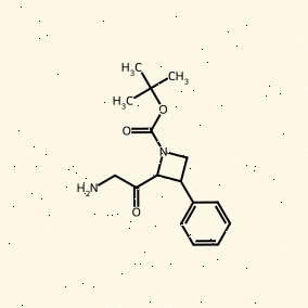 CC(C)(C)OC(=O)N1CC(c2ccccc2)[C]1C(=O)CN